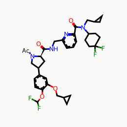 CC(=O)N1CC(c2ccc(OC(F)F)c(OCC3CC3)c2)C[C@@H]1C(=O)NCc1cccc(C(=O)N(CC2CC2)C2CCC(F)(F)CC2)n1